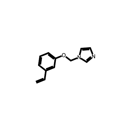 C=Cc1cccc(OCn2ccnc2)c1